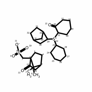 CC1(C)C2CCC1(CS(=O)(=O)[O-])C(=O)C2.O=C1CCCCC1[S+](C1CCCCC1)C1CC2CCC1C2